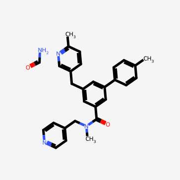 Cc1ccc(-c2cc(Cc3ccc(C)nc3)cc(C(=O)N(C)Cc3ccncc3)c2)cc1.NC=O